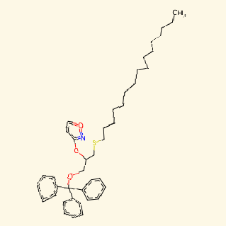 CCCCCCCCCCCCCCCCSCC(COC(c1ccccc1)(c1ccccc1)c1ccccc1)Oc1ccon1